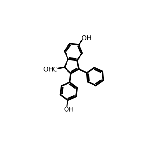 O=CC1C(c2ccc(O)cc2)=C(c2ccccc2)c2cc(O)ccc21